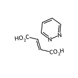 O=C(O)C=CC(=O)O.c1ccnnc1